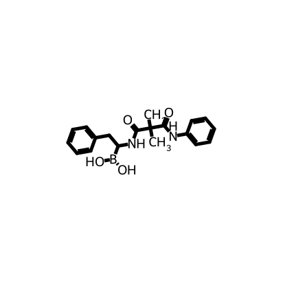 CC(C)(C(=O)Nc1ccccc1)C(=O)NC(Cc1ccccc1)B(O)O